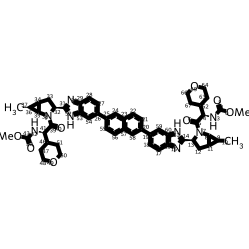 COC(=O)N[C@H](C(=O)N1C2C(C)C2C[C@H]1c1nc2ccc(-c3ccc4cc(-c5ccc6nc([C@@H]7CC8C([C@@H]8C)N7C(=O)[C@@H](NC(=O)OC)C7CCOCC7)[nH]c6c5)ccc4c3)cc2[nH]1)C1CCOCC1